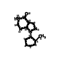 Cc1ccccc1-n1ncc2c(=O)[nH]cnc21